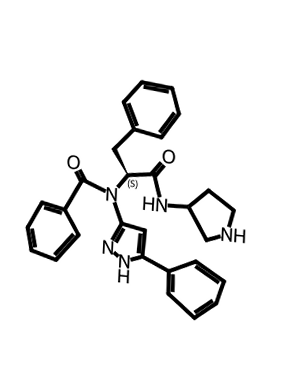 O=C(NC1CCNC1)[C@H](Cc1ccccc1)N(C(=O)c1ccccc1)c1cc(-c2ccccc2)[nH]n1